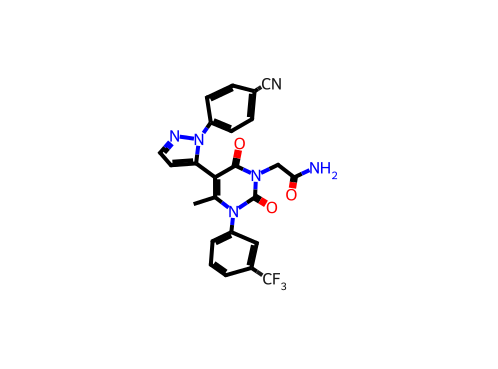 Cc1c(-c2ccnn2-c2ccc(C#N)cc2)c(=O)n(CC(N)=O)c(=O)n1-c1cccc(C(F)(F)F)c1